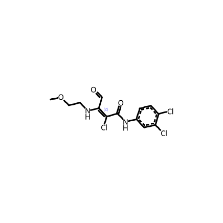 COCCN/C(C=O)=C(\Cl)C(=O)Nc1ccc(Cl)c(Cl)c1